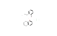 CCCc1ccccc1COc1cccc2c1CCCC2.Cl